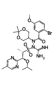 COc1ccc(Br)c(C(=O)N(C2COC(C)(C)OC2)N(C(=N)N)S(=O)(=O)[C@@H](C)[C@@H](OC(C)C)c2ncc(C)cn2)c1